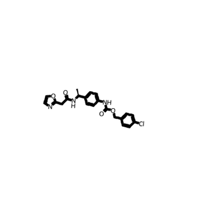 C[C@H](NC(=O)Cc1ncco1)c1ccc(NC(=O)OCc2ccc(Cl)cc2)cc1